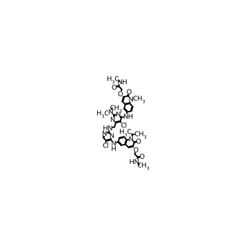 CNC(=O)COc1cc2cc(Nc3nc(N(C)C)nc(CNc4ncc(Cl)c(Nc5ccc6c(c5)cc(OCC(=O)NC)c(=O)n6C(C)C)n4)c3Cl)ccc2n(C)c1=O